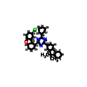 CC1(C)c2ccccc2-c2ccc(-c3nc(-c4ccccc4)nc(-c4cccc5oc6ccc(Cl)cc6c45)n3)cc21